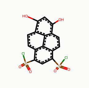 O=S(=O)(Cl)c1cc(S(=O)(=O)Cl)c2ccc3c(O)cc(O)c4ccc1c2c43